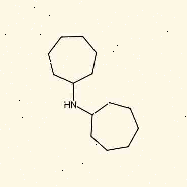 C1CCCC(NC2CCCCCC2)CC1